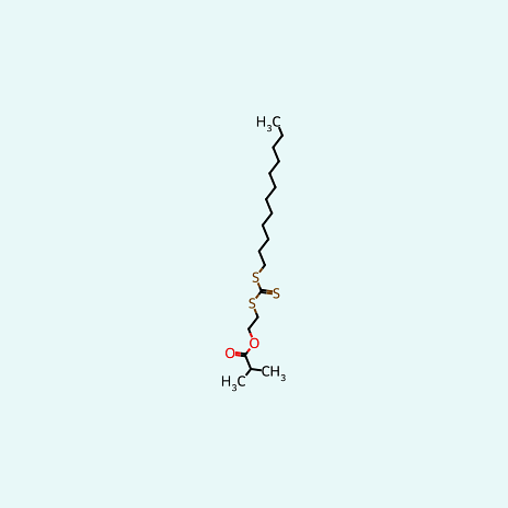 CCCCCCCCCCCCSC(=S)SCCOC(=O)C(C)C